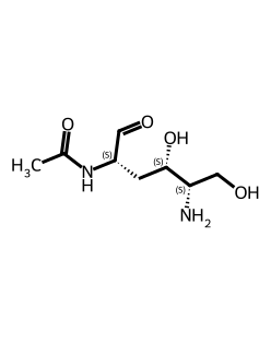 CC(=O)N[C@H](C=O)C[C@H](O)[C@@H](N)CO